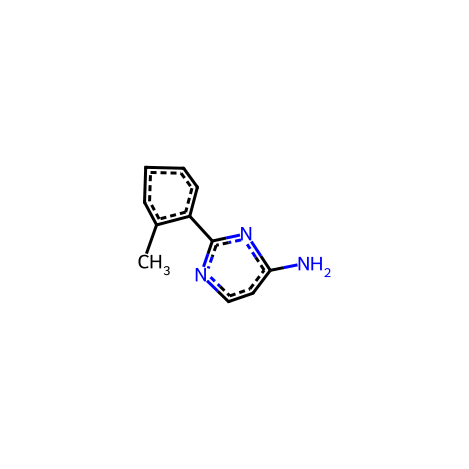 Cc1ccccc1-c1nccc(N)n1